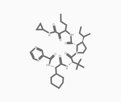 CCCC(NC(=O)[C@@H]1[C@@H](C(C)CC)CCN1C(=O)[C@@H](NC(=O)[C@@H](NC(=O)c1cnccn1)C1CCCCC1)C(C)(C)C)C(=O)C(=O)NC1CC1